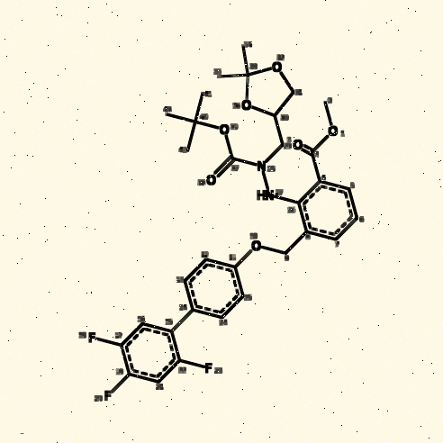 COC(=O)c1cccc(COc2ccc(-c3cc(F)c(F)cc3F)cc2)c1NN(CC1COC(C)(C)O1)C(=O)OC(C)(C)C